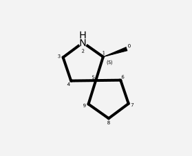 C[C@@H]1NCCC12CCCC2